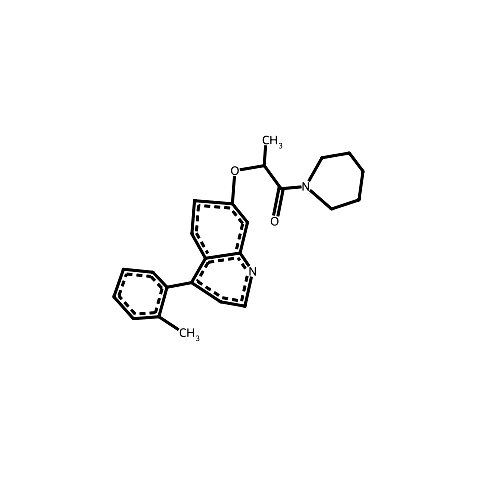 Cc1ccccc1-c1ccnc2cc(OC(C)C(=O)N3CCCCC3)ccc12